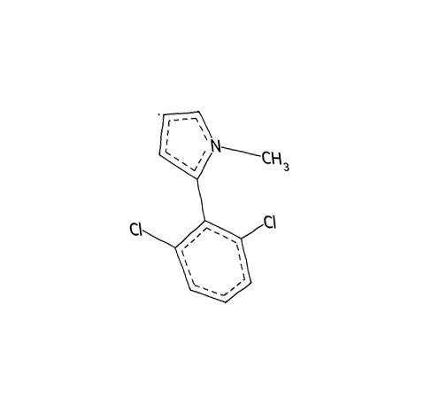 Cn1c[c]cc1-c1c(Cl)cccc1Cl